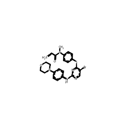 C=CC(=O)N(C)c1ccc(Sc2nc(Nc3ccc(N4CCOCC4)cc3)ncc2Br)cc1